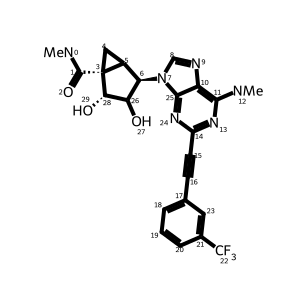 CNC(=O)[C@]12CC1[C@@H](n1cnc3c(NC)nc(C#Cc4cccc(C(F)(F)F)c4)nc31)C(O)[C@@H]2O